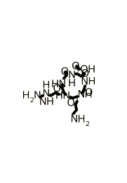 N=C(N)NCCC[C@H]1NC(=O)[C@@H](CCCCN)NC(=O)CNC(=O)[C@@H](C(=O)O)NC(=O)CNC1=O